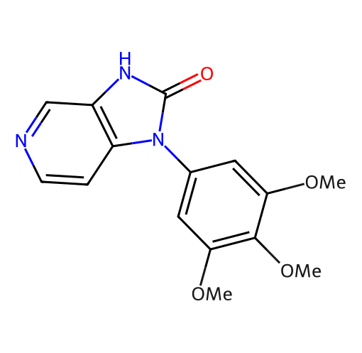 COc1cc(-n2c(=O)[nH]c3cnccc32)cc(OC)c1OC